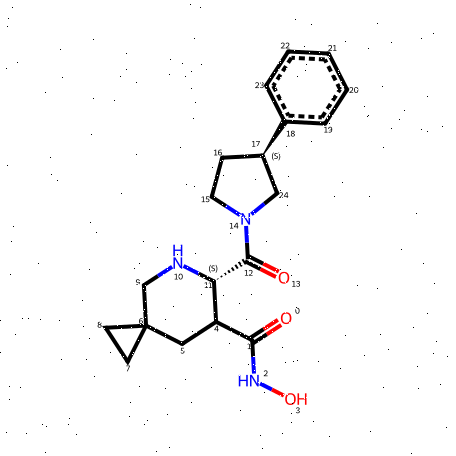 O=C(NO)C1CC2(CC2)CN[C@@H]1C(=O)N1CC[C@@H](c2ccccc2)C1